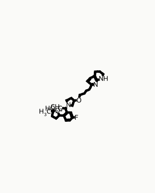 CC1(C)CCC(c2ccc(F)cc2C(C(=O)O)N2CCC(OCCCCc3ccc4c(n3)NCCC4)C2)O1